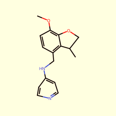 COc1ccc(CNc2ccncc2)c2c1OCC2C